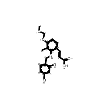 COCOc1ccc(C=CC(=O)O)c(OCc2ccc(Cl)cc2Cl)c1C